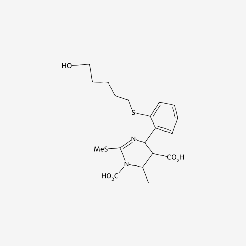 CSC1=NC(c2ccccc2SCCCCCO)C(C(=O)O)C(C)N1C(=O)O